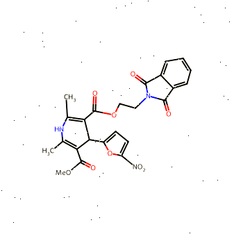 COC(=O)C1=C(C)NC(C)=C(C(=O)OCCN2C(=O)c3ccccc3C2=O)C1c1ccc([N+](=O)[O-])o1